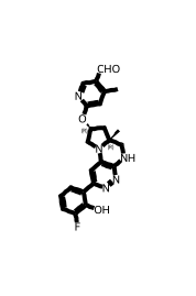 Cc1cc(O[C@H]2CN3c4cc(-c5cccc(F)c5O)nnc4NC[C@@]3(C)C2)ncc1C=O